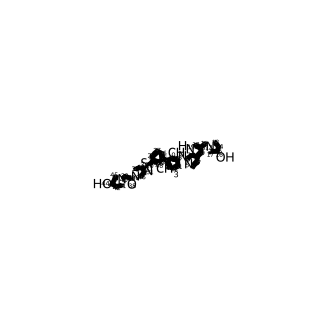 Cc1c(Nc2nccc3cc(CN4CC[C@@H](O)C4)cnc23)cccc1-c1cccc(-c2nc3c(s2)CN(C(=O)CN2CC[C@@H](O)C2)C3)c1C